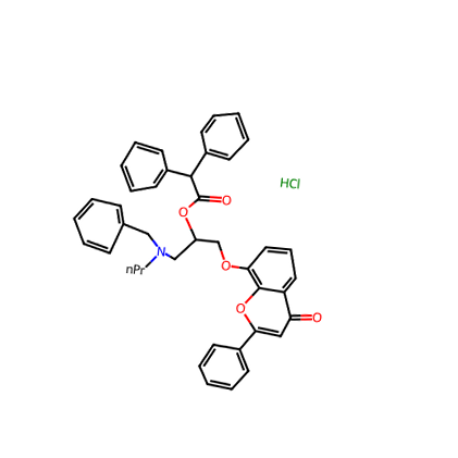 CCCN(Cc1ccccc1)CC(COc1cccc2c(=O)cc(-c3ccccc3)oc12)OC(=O)C(c1ccccc1)c1ccccc1.Cl